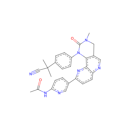 CC(=O)Nc1ccc(-c2ccc3ncc4c(c3n2)N(c2ccc(C(C)(C)C#N)cc2)C(=O)N(C)C4)cn1